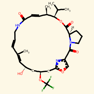 CC1=C\[C@@H](O)C[C@H](OC(F)(F)F)Cc2nc(co2)C(=O)N2CCC[C@@H]2C(=O)O[C@H](C(C)C)[C@H](C)/C=C/C(=O)NC\C=C\1